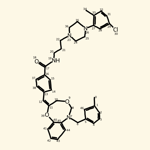 Cc1cccc(CN2COC/C(=C\c3ccc(C(=O)NCCCN4CCN(c5cc(Cl)ccc5C)CC4)cc3)Oc3ccccc32)c1